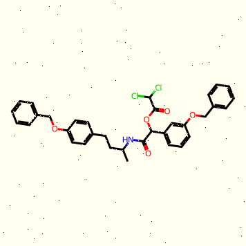 CC(CCc1ccc(OCc2ccccc2)cc1)NC(=O)C(OC(=O)C(Cl)Cl)c1cccc(OCc2ccccc2)c1